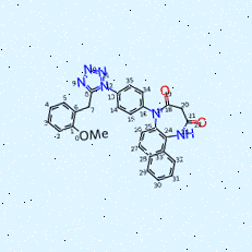 COc1ccccc1Cc1nnnn1-c1ccc(N2C(=O)CC(=O)Nc3c2ccc2ccccc32)cc1